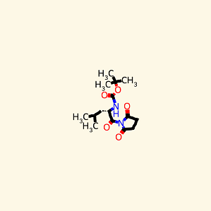 CC(C)C[C@H](NC(=O)OC(C)(C)C)C(=O)N1C(=O)CCC1=O